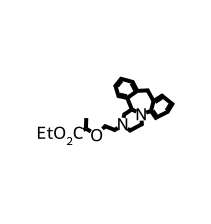 CCOC(=O)C(C)OCCN1CCN2c3ccccc3Cc3ccccc3C2C1